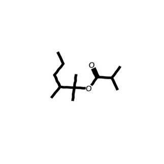 CCCC(C)C(C)(C)OC(=O)C(C)C